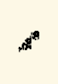 C=CC1=C(c2ccc(NC(=O)c3c(F)cccc3F)cc2)CCN(C(C)=O)CC1